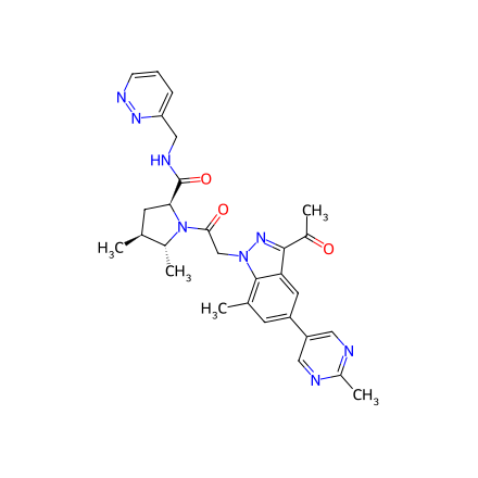 CC(=O)c1nn(CC(=O)N2[C@H](C)[C@@H](C)C[C@H]2C(=O)NCc2cccnn2)c2c(C)cc(-c3cnc(C)nc3)cc12